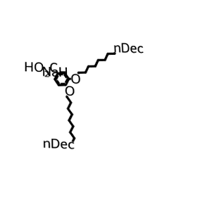 CCCCCCCCCCCCCCCCCCOc1ccc(C(=O)O)cc1OCCCCCCCCCCCCCCCCCC.[NaH]